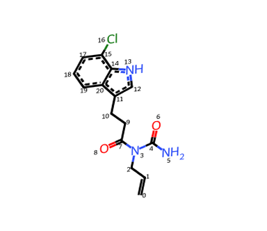 C=CCN(C(N)=O)C(=O)CCc1c[nH]c2c(Cl)cccc12